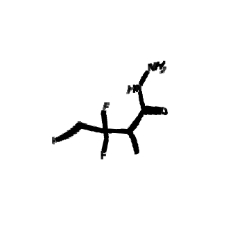 CC(C(=O)NN)C(F)(F)CF